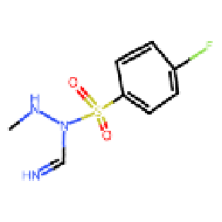 CNN(C=N)S(=O)(=O)c1ccc(F)cc1